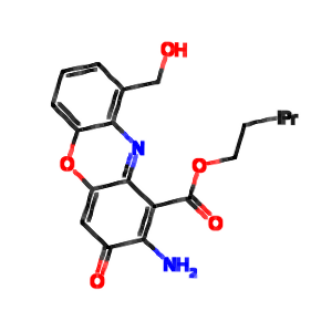 CC(C)CCOC(=O)c1c2nc3c(CO)cccc3oc-2cc(=O)c1N